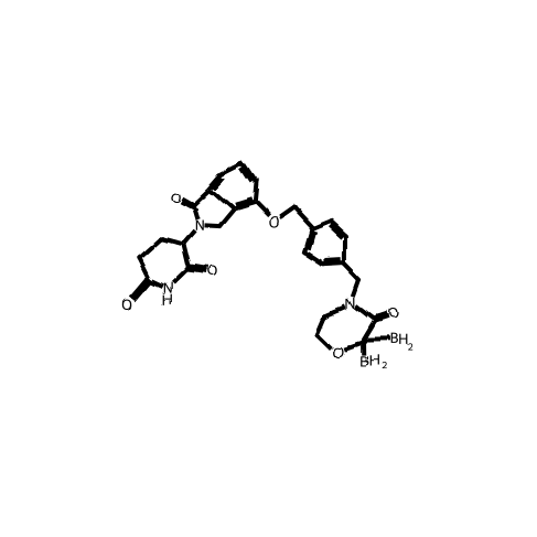 BC1(B)OCCN(Cc2ccc(COc3cccc4c3CN(C3CCC(=O)NC3=O)C4=O)cc2)C1=O